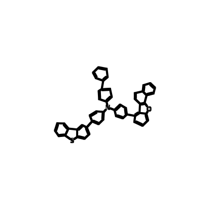 c1ccc(-c2ccc(N(c3ccc(-c4ccc5sc6ccccc6c5c4)cc3)c3ccc(-c4cccc5oc6c7ccccc7ccc6c45)cc3)cc2)cc1